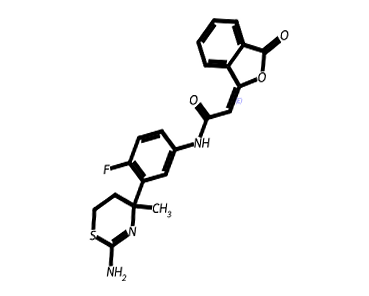 CC1(c2cc(NC(=O)/C=C3/OC(=O)c4ccccc43)ccc2F)CCSC(N)=N1